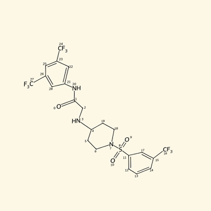 O=C(CNC1CCN(S(=O)(=O)c2cccc(C(F)(F)F)c2)CC1)Nc1cc(C(F)(F)F)cc(C(F)(F)F)c1